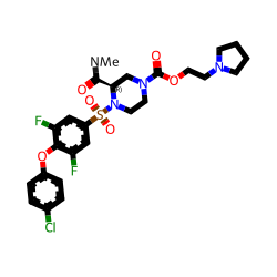 CNC(=O)[C@H]1CN(C(=O)OCCN2CCCC2)CCN1S(=O)(=O)c1cc(F)c(Oc2ccc(Cl)cc2)c(F)c1